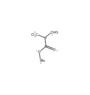 CC(C)(C)OC(=O)C([C]=O)C(Cl)(Cl)Cl